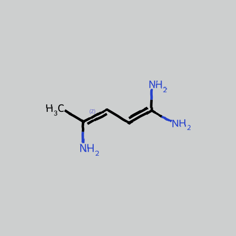 C/C(N)=C/C=C(N)N